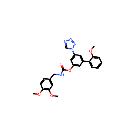 COc1ccc(CNC(=O)Oc2cc(-c3ccccc3OC)cc(-n3cnnn3)c2)cc1OC